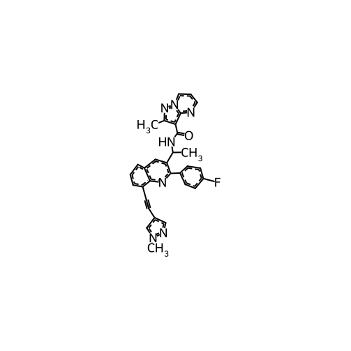 Cc1nn2cccnc2c1C(=O)NC(C)c1cc2cccc(C#Cc3cnn(C)c3)c2nc1-c1ccc(F)cc1